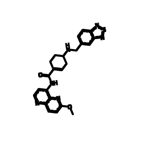 COc1ccc2nccc(NC(=O)C3=CCC(NCc4ccc5nsnc5c4)CC3)c2n1